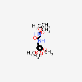 COc1cc(CNC(=O)CNC(=O)OC(C)(C)C)cc(OC)c1OC